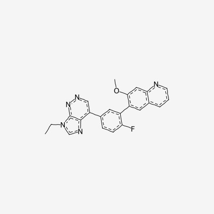 CCn1cnc2c(-c3ccc(F)c(-c4cc5cccnc5cc4OC)c3)cnnc21